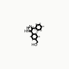 OCc1ccc(-c2[nH]nnc2-c2ccccc2)cc1